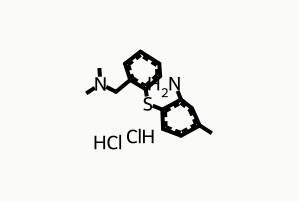 Cc1ccc(Sc2ccccc2CN(C)C)c(N)c1.Cl.Cl